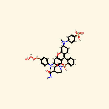 CNC(=O)C1CCN(S(=O)(=O)c2ccccc2-c2c3cc/c(=[N+](/C)c4ccc(S(=O)(=O)O)cc4)cc-3oc3cc(N(C)c4ccc(SOOO)cc4)ccc23)CC1